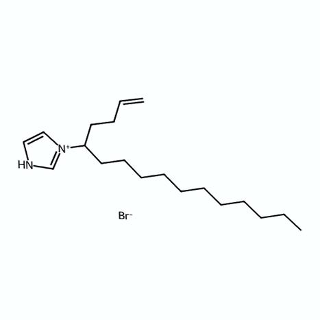 C=CCCC(CCCCCCCCCCC)[n+]1cc[nH]c1.[Br-]